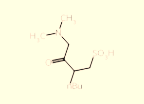 CCCCC(CS(=O)(=O)O)C(=O)CN(C)C